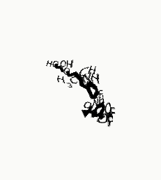 CC(C)(CCOCC(O)CO)c1cc2cc(NC(=O)C3(c4ccc5c(c4)OC(F)(F)O5)CC3)c(F)cc2[nH]1